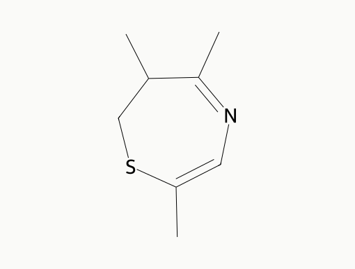 CC1=CN=C(C)C(C)CS1